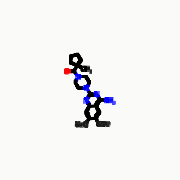 COc1cc2nc(N3CCN(C(=O)C4(C)CCCC4)CC3)nc(N)c2cc1OC